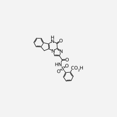 O=C(NS(=O)(=O)c1ccccc1C(=O)O)c1cn2c3c([nH]c(=O)c2n1)-c1ccccc1C3